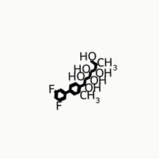 Cc1cc(-c2cc(F)cc(F)c2)ccc1[C@@H](O)C(O)C(O)C(O)C(O)C(C)CO